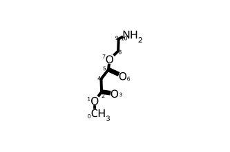 COC(=O)CC(=O)OCCN